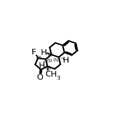 C[C@]12CC[C@@H]3c4ccccc4CC[C@H]3[C@@H]1[C@H](F)CC2=O